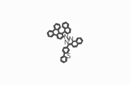 c1ccc2c(c1)ccc1c(-c3ccc4c(c3)sc3ccccc34)nc(-n3c4ccc5ccccc5c4c4c5c6ccccc6c6ccccc6c5ccc43)nc12